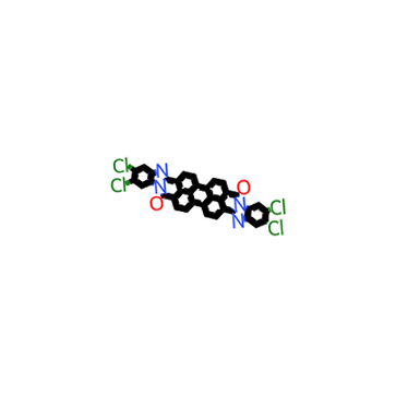 O=c1c2ccc3c4ccc5c6c(ccc(c7ccc(c2c37)c2nc3cc(Cl)c(Cl)cc3n12)c46)c(=O)n1c2cc(Cl)c(Cl)cc2nc51